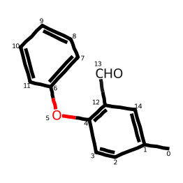 Cc1ccc(Oc2ccccc2)c(C=O)c1